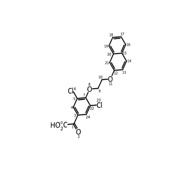 O=C(O)C(=O)c1cc(Cl)c(OCCOc2ccc3ccccc3c2)c(Cl)c1